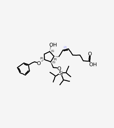 CC(C)[Si](OC[C@@H]1[C@@H](C/C=C\CCCC(=O)O)[C@@H](O)C[C@H]1OCc1ccccc1)(C(C)C)C(C)C